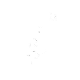 O=C(O)c1cn(C2CC2)c2cc(N3CCN(C(=O)OCCn4cccn4)CC3)c(F)cc2c1=O